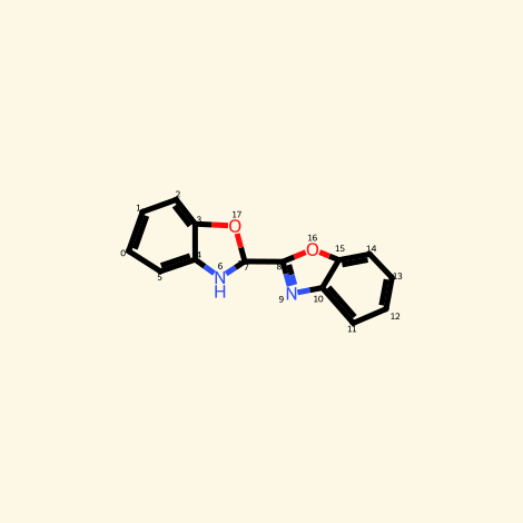 c1ccc2c(c1)N[C](c1nc3ccccc3o1)O2